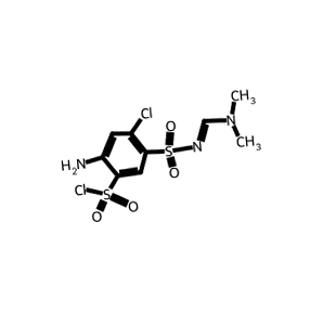 CN(C)C=NS(=O)(=O)c1cc(S(=O)(=O)Cl)c(N)cc1Cl